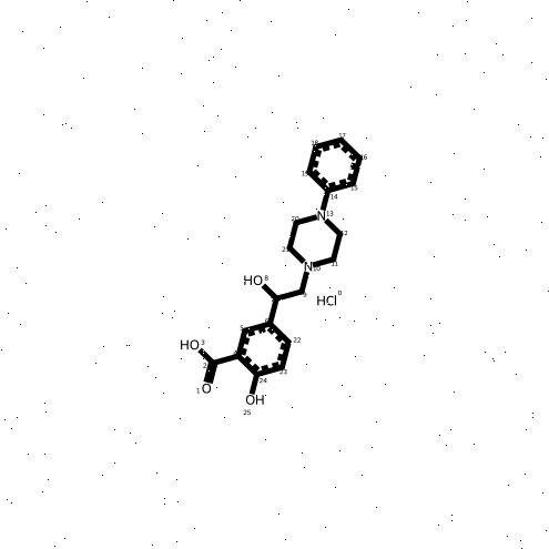 Cl.O=C(O)c1cc(C(O)CN2CCN(c3ccccc3)CC2)ccc1O